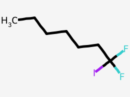 CCCCCCC(F)(F)I